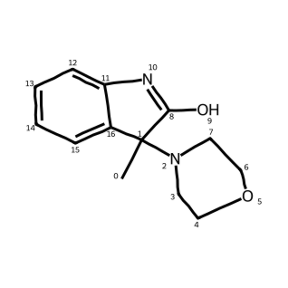 CC1(N2CCOCC2)C(O)=Nc2ccccc21